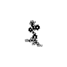 CC(C)(C)OC(=O)CC(N[C@@H]1CC=CCC1)C(=O)N1CCCC[C@H]1CCOC1CCN(C(=NC(=O)OC(C)(C)C)NC(=O)OC(C)(C)C)CC1